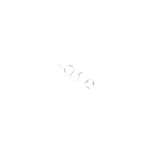 Cc1nc(C(C)(C)C)ncc1C(=O)Nc1ccc(F)cc1